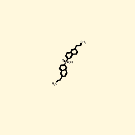 C=CCc1ccc2cc(P(=O)(O)c3ccc4cc(CC=C)ccc4c3)ccc2c1